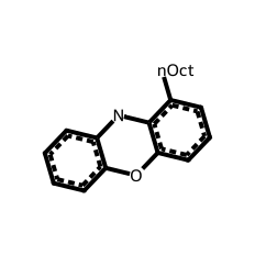 CCCCCCCCc1cccc2c1[N]c1ccccc1O2